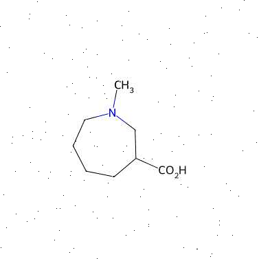 CN1CCCCC(C(=O)O)C1